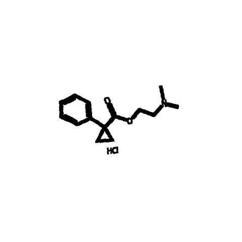 CN(C)CCOC(=O)C1(c2ccccc2)CC1.Cl